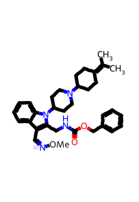 CO/N=C\c1c(CNC(=O)OCc2ccccc2)n(C2CCN(C3CCC(=C(C)C)CC3)CC2)c2ccccc12